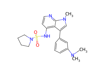 CN(C)c1cccc(-c2cn(C)c3nccc(NS(=O)(=O)N4CCCC4)c23)c1